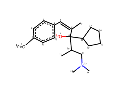 COc1ccc(C=C(C)C(O)(C(C)CN(C)C)C2CCCC2)cc1